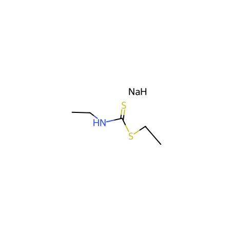 CCNC(=S)SCC.[NaH]